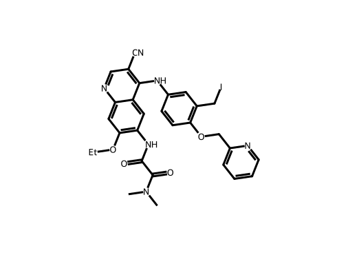 CCOc1cc2ncc(C#N)c(Nc3ccc(OCc4ccccn4)c(CI)c3)c2cc1NC(=O)C(=O)N(C)C